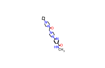 CNC(=O)c1ccc(N2CCN(CC(=O)N3CCN(C4CCC4)CC3)CC2)nc1